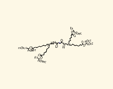 CCCCCCCCCCC(CC)OC(=O)CCCCCN(CCCCCCCC(=O)OC(CCCCCCCC)CCCCCCCC)CCNC(=O)/C=C/C(=O)NCCN(CCCCCCCC(=O)OC(CCCCCCCC)CCCCCCCC)CCCCCC(=O)OC(CC)CCCCCCCCCC